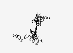 Cc1cc(N[C@@H](CCC(=O)O)C(=O)O)sc1C#Cc1cnc2nc(NC(=O)C(C)(C)C)[nH]c(=O)c2c1